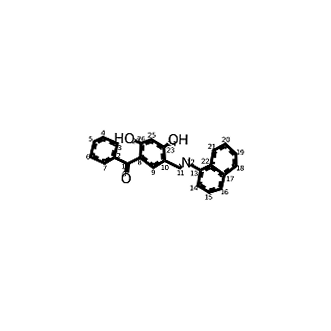 O=C(c1ccccc1)c1cc(C=Nc2cccc3ccccc23)c(O)cc1O